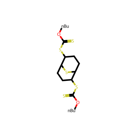 CCCCOC(=S)SC1CCC2SC1CCC2SC(=S)OCCCC